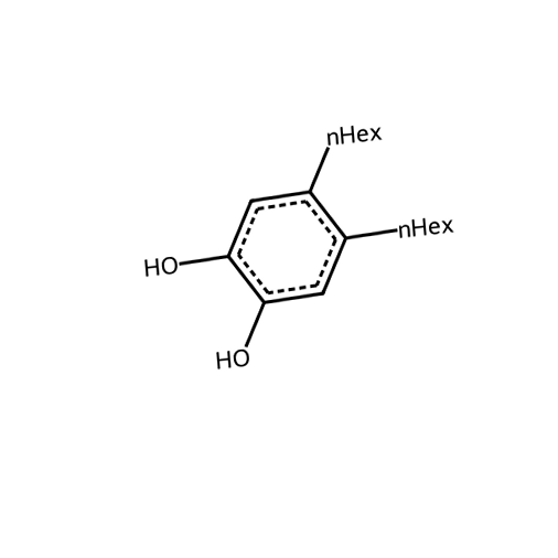 CCCCCCc1cc(O)c(O)cc1CCCCCC